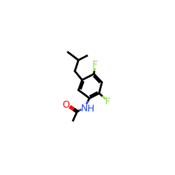 CC(=O)Nc1cc(CC(C)C)c(F)cc1F